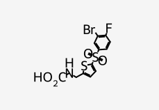 O=C(O)NCc1ccc(S(=O)(=O)c2ccc(F)c(Br)c2)s1